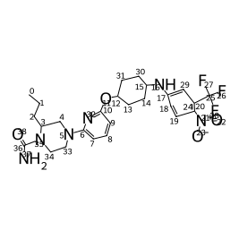 CCCC1CN(c2cccc(OC3CCC(Nc4ccc([N+](=O)[O-])c(C(F)(F)F)c4)CC3)n2)CCN1C(N)=O